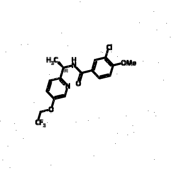 COc1ccc(C(=O)N[C@H](C)c2ccc(OCC(F)(F)F)cn2)cc1Cl